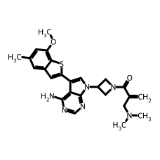 C=C(CN(C)C)C(=O)N1CC(n2cc(-c3cc4cc(C)cc(OC)c4s3)c3c(N)ncnc32)C1